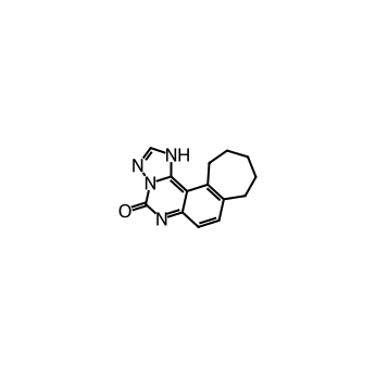 O=c1nc2ccc3c(c2c2[nH]cnn12)CCCCC3